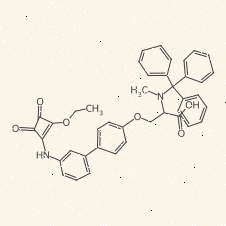 CCOc1c(Nc2cccc(-c3ccc(OCC(C(=O)O)N(C)C(c4ccccc4)(c4ccccc4)c4ccccc4)cc3)c2)c(=O)c1=O